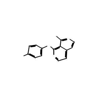 Fc1ccc(Oc2nccc3ccnc(Cl)c23)cc1